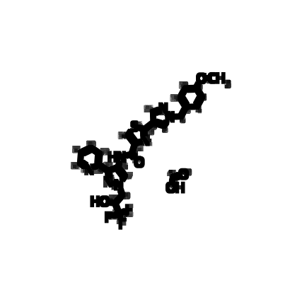 COc1ccc(Cn2cc(-c3nc(C(=O)Nc4cn(CC(O)C(F)(F)F)nc4-c4ccccn4)cs3)cn2)cc1.O=CO